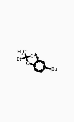 CCC(C)c1ccc(OC(C)(C)CC)c(F)c1